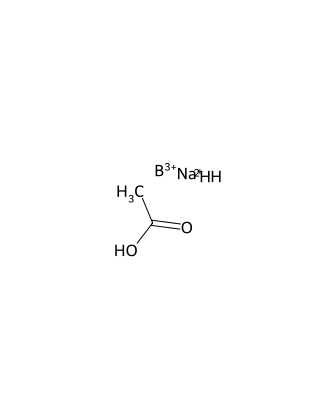 CC(=O)O.[2HH].[B+3].[Na+]